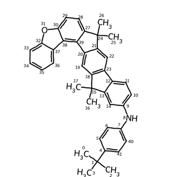 CC(C)(C)c1ccc(Nc2ccc3c(c2)C(C)(C)c2cc4c(cc2-3)C(C)(C)c2ccc3oc5ccccc5c3c2-4)cc1